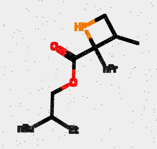 CCCCC(CC)COC(=O)C1(CCC)PCC1C